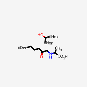 CCCCCCCCCC(O)CCCCCC.CCCCCCCCCCCCCC(=O)CNC(C)C(=O)O